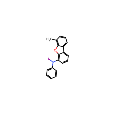 Cc1cccc2c1oc1c(N(I)c3ccccc3)cccc12